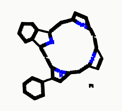 C1=Cc2cc3cc(-c4ccccc4)c(cc4nc(cc5ccc(cc1n2)[nH]5)-c1ccccc1-4)[nH]3.[Pt]